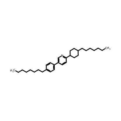 CCCCCCCCc1ccc(-c2ccc(C3CCC(CCCCCCC)CC3)nc2)cc1